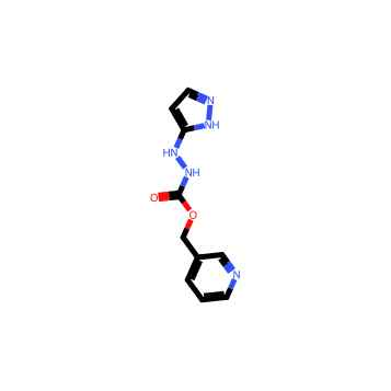 O=C(NNc1ccn[nH]1)OCc1cccnc1